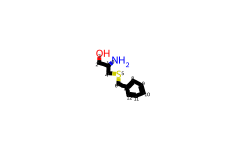 NC(CO)CSCc1ccccc1